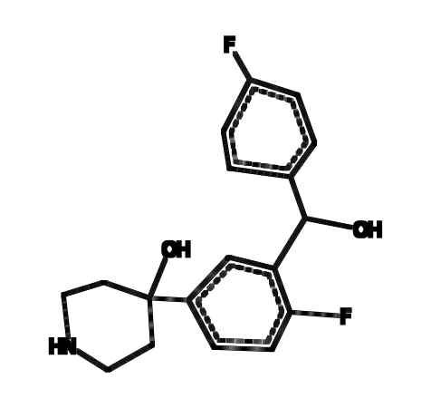 OC(c1ccc(F)cc1)c1cc(C2(O)CCNCC2)ccc1F